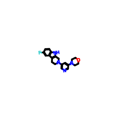 Fc1ccc2[nH]c3c(c2c1)CCN(c1cncc(N2CCOCC2)c1)C3